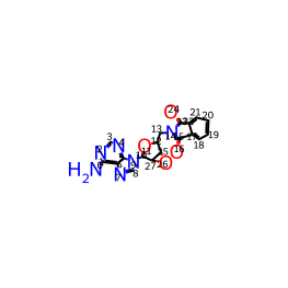 Nc1ncnc2c1ncn2C1OC(CN2C(=O)c3ccccc3C2=O)C2OC21